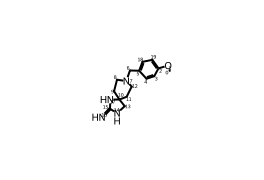 COc1ccc(CN2CCC3(CC2)CNC(=N)N3)cc1